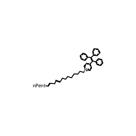 CCCCC/C=C/C/C=C/CCCCCCCC[n+]1ccc(C(=C(c2ccccc2)c2ccccc2)c2ccccc2)cc1